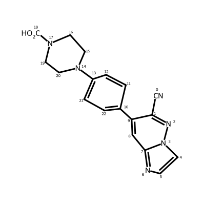 N#Cc1nn2ccnc2cc1-c1ccc(N2CCN(C(=O)O)CC2)cc1